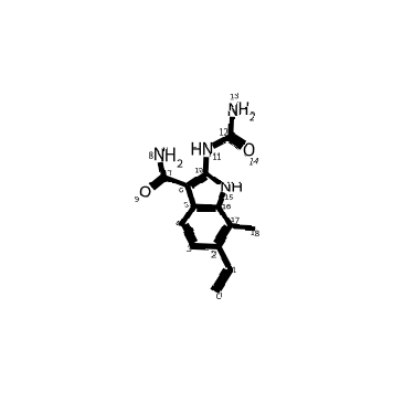 C=Cc1ccc2c(C(N)=O)c(NC(N)=O)[nH]c2c1C